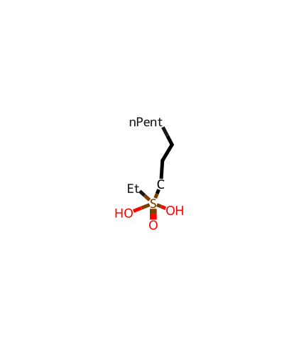 CCCCCCCCS(=O)(O)(O)CC